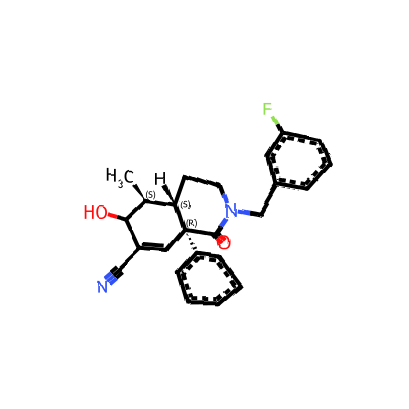 C[C@@H]1C(O)C(C#N)=C[C@]2(c3ccccc3)C(=O)N(Cc3cccc(F)c3)CC[C@@H]12